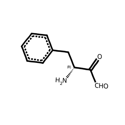 N[C@H](Cc1ccccc1)C(=O)C=O